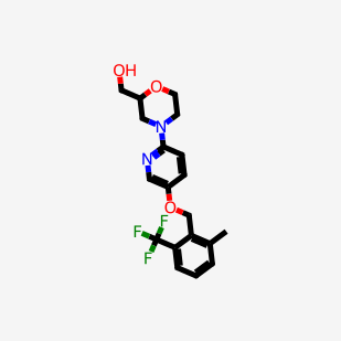 Cc1cccc(C(F)(F)F)c1COc1ccc(N2CCOC(CO)C2)nc1